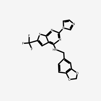 FC(F)(F)c1cc2c(NCc3ccc4c(c3)OCO4)nc(-n3ccnc3)nc2s1